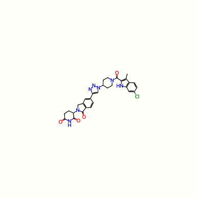 Cc1c(C(=O)N2CCC(n3cc(-c4ccc5c(c4)CN(C4CCC(=O)NC4=O)C5=O)nn3)CC2)[nH]c2cc(Cl)ccc12